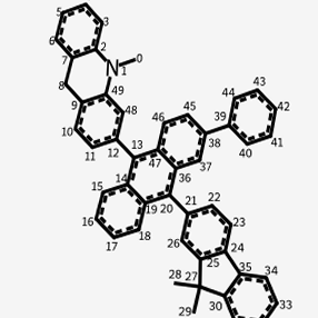 CN1c2ccccc2Cc2ccc(-c3c4ccccc4c(-c4ccc5c(c4)C(C)(C)c4ccccc4-5)c4cc(-c5ccccc5)ccc34)cc21